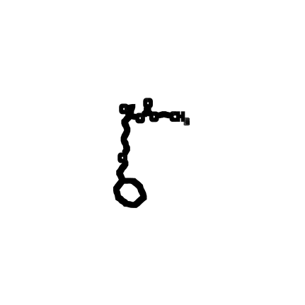 CCOC(=O)OC1(CCCCOCCC2CCCCCCC2)CO1